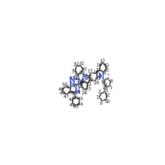 c1ccc(-c2cccc(-n3c4ccccc4c4cc5c(cc43)c3ccccc3n5-c3ccccc3-c3nc4nc(-c5ccccc5)c5ccccc5n4n3)c2)cc1